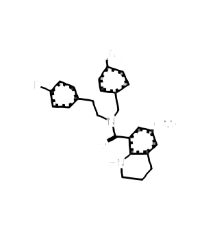 COc1cc2c(c(C(=O)N(CCc3ccc(F)cc3)Cc3ccc(C(C)(C)C)cc3)c1)NCCC2